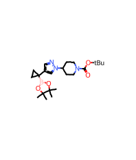 CC(C)(C)OC(=O)N1CCC(n2cc(C3(B4OC(C)(C)C(C)(C)O4)CC3)cn2)CC1